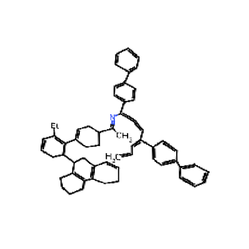 C=C/C=C(/C=C=C(/N=C(\C)C1CC=C(C2=C(CC)C=CCC2C2CC3=C(CCC=C3)C3=C2CCCC3)CC1)c1ccc(-c2ccccc2)cc1)c1ccc(-c2ccccc2)cc1